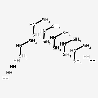 [HH].[HH].[HH].[HH].[HH].[HH].[SiH3]N[SiH3].[SiH3]N[SiH3].[SiH3]N[SiH3].[SiH3]N[SiH3].[SiH3]N[SiH3].[SiH3]N[SiH3]